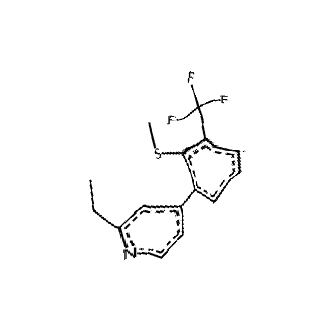 CCc1cc(-c2cc[c]c(C(F)(F)F)c2SC)ccn1